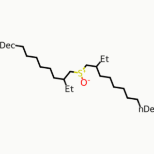 CCCCCCCCCCCCCCCCC(CC)C[S+]([O-])CC(CC)CCCCCCCCCCCCCCCC